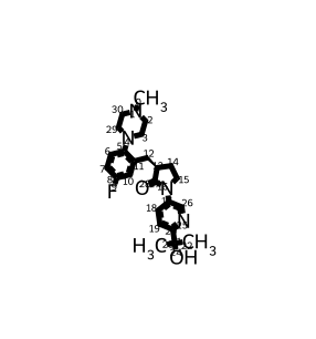 CN1CCN(c2ccc(F)cc2C[C@H]2CCN(c3ccc(C(C)(C)O)nc3)C2=O)CC1